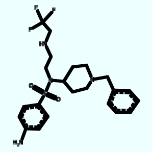 Nc1ccc(S(=O)(=O)N(CCNCC(F)(F)F)C2CCN(Cc3ccccc3)CC2)cc1